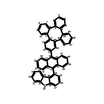 c1ccc2c(c1)-c1ccccc1-c1ccc(-c3c4ccccc4c(-c4cccc5sc6ccccc6c45)c4ccccc34)cc1-c1ccccc1-2